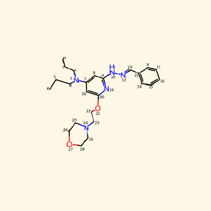 CCCN(CCC)c1cc(N/N=C/c2ccccc2)nc(OCCN2CCOCC2)c1